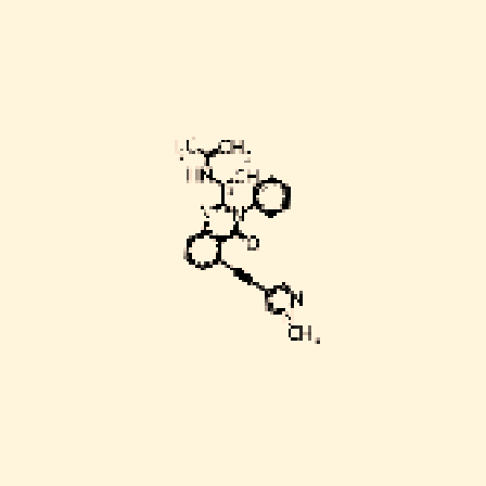 C=C(C)N[C@@H](C)c1nc2cccc(C#Cc3cnn(C)c3)c2c(=O)n1-c1ccccc1